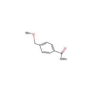 CNC(=O)c1ccc(COC(C)(C)C)cc1